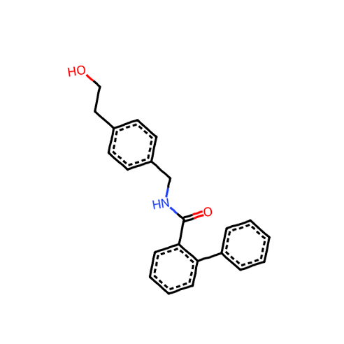 O=C(NCc1ccc(CCO)cc1)c1ccccc1-c1ccccc1